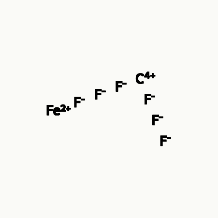 [C+4].[F-].[F-].[F-].[F-].[F-].[F-].[Fe+2]